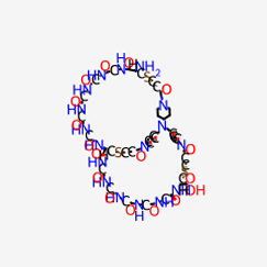 N[C@H]1CSCCC(=O)N2CCC(CC2)N2C3CCN(CC3)C(=O)CCSC[C@@H](C(=O)O)NC(=O)CNC(=O)CNC(=O)CNC(=O)CNC(=O)CNC(=O)[C@H](CSCCC(=O)N3CCC2CC3)NC(=O)CNC(=O)CNC(=O)CNC(=O)CNC(=O)CNC1=O